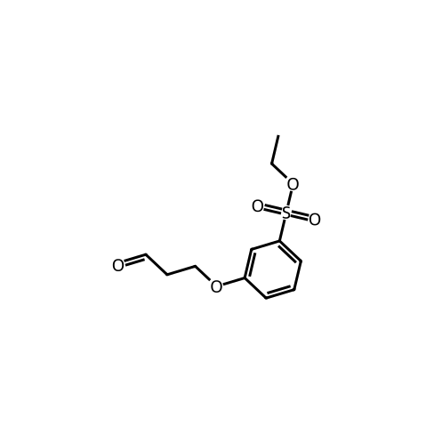 CCOS(=O)(=O)c1cccc(OCCC=O)c1